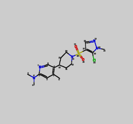 Cc1cc(N(C)C)ncc1C1CCN(S(=O)(=O)c2cnn(C)c2Cl)CC1